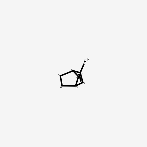 FC1=[C][C]2CCC1C2